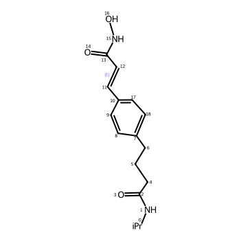 CC(C)NC(=O)CCCc1ccc(/C=C/C(=O)NO)cc1